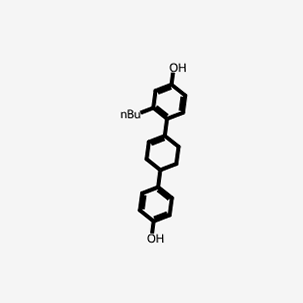 CCCCc1cc(O)ccc1C1=CCC(c2ccc(O)cc2)CC1